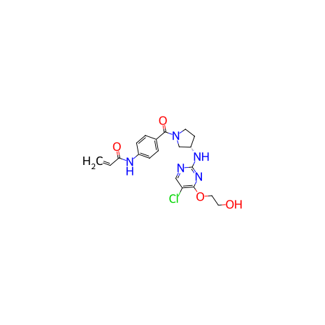 C=CC(=O)Nc1ccc(C(=O)N2CC[C@H](Nc3ncc(Cl)c(OCCO)n3)C2)cc1